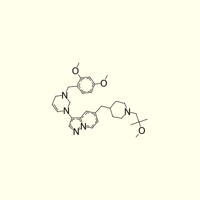 COc1ccc(CN2CC=CN(c3cnn4ccc(CC5CCN(CC(C)(C)OC)CC5)cc34)C2)c(OC)c1